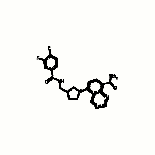 NC(=O)c1ccc(N2CCC(CNC(=O)c3ccc(F)c(F)c3)C2)c2cncnc12